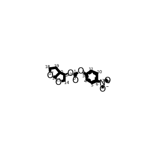 O=C(Oc1ccc([N+](=O)[O-])cc1)O[C@H]1COC2OCCC21